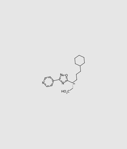 O=C(O)C[C@@H](CCCC1CCCCC1)c1nc(-c2ccncc2)no1